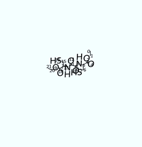 CCOC(=O)C(CS)NC(=O)C(=O)NC(CS)C(=O)OCC